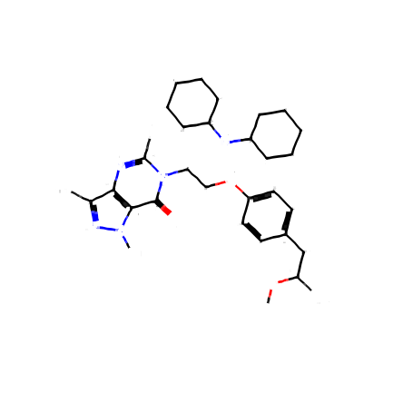 C1CCC(NC2CCCCC2)CC1.CCCc1nn(C)c2c(=O)n(CCOc3ccc(CC(OCC)C(=O)O)cc3)c(CC)nc12